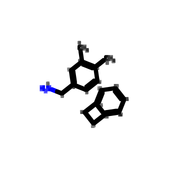 Cc1ccc(CN)cc1C.c1ccc2c(c1)CC2